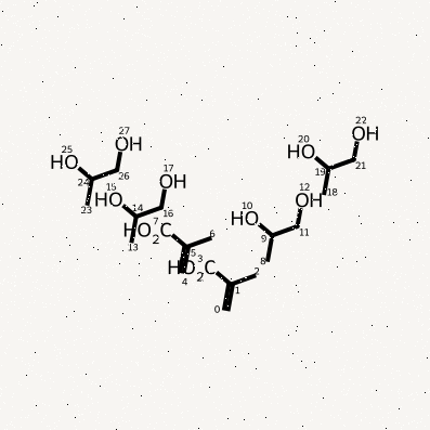 C=C(C)C(=O)O.C=C(C)C(=O)O.CC(O)CO.CC(O)CO.CC(O)CO.CC(O)CO